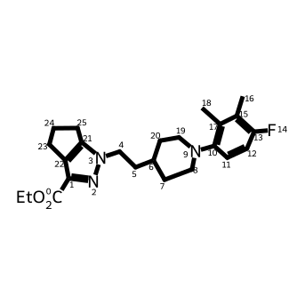 CCOC(=O)c1nn(CCC2CCN(c3ccc(F)c(C)c3C)CC2)c2c1CCC2